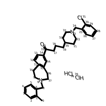 Cc1ccccc1CN1CCc2ccc(C(=O)CCCC3CCN(Cc4ccccc4Cl)CC3)cc2CC1.Cl.Cl